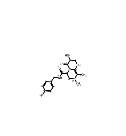 CC1=C2NCC(O)C(=O)N2C(C(=O)NCc2ccc(F)cc2)CN1C